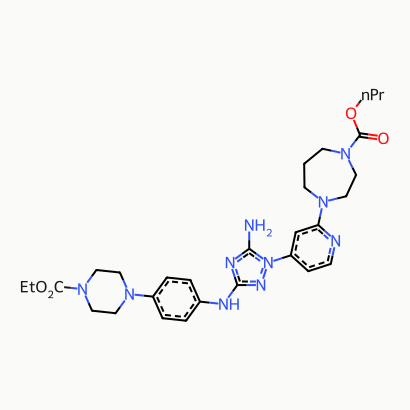 CCCOC(=O)N1CCCN(c2cc(-n3nc(Nc4ccc(N5CCN(C(=O)OCC)CC5)cc4)nc3N)ccn2)CC1